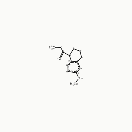 CCC(=O)C1CCCc2cc(OC)ccc21